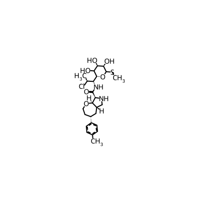 CSC1O[C@H]([C@H](NC(=O)[C@H]2NC[C@@H]3C[C@H](c4ccc(C)cc4)CCO[C@H]32)[C@H](C)Cl)C(O)[C@@H](O)[C@H]1O